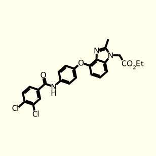 CCOC(=O)Cn1c(C)nc2c(Oc3ccc(NC(=O)c4ccc(Cl)c(Cl)c4)cc3)cccc21